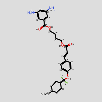 CCCCCCC1CCC(C(F)(F)Oc2ccc(C=CC(=O)OCCCCOC(=O)c3cc(N)cc(N)c3)cc2)CC1